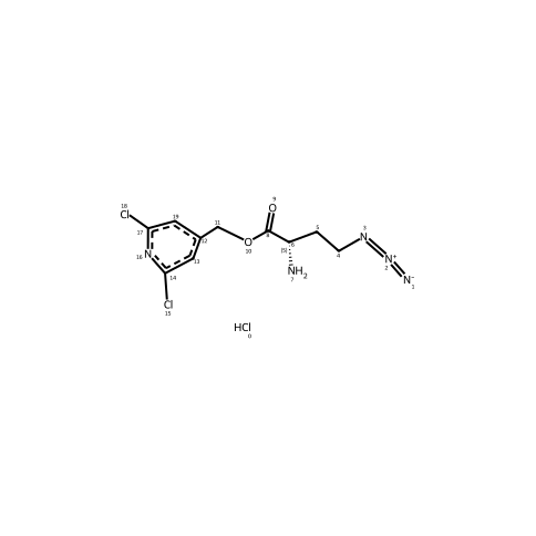 Cl.[N-]=[N+]=NCC[C@H](N)C(=O)OCc1cc(Cl)nc(Cl)c1